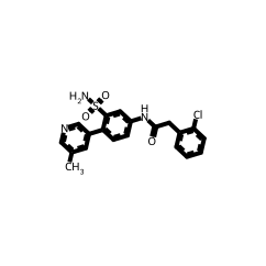 Cc1cncc(-c2ccc(NC(=O)Cc3ccccc3Cl)cc2S(N)(=O)=O)c1